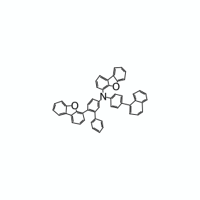 c1ccc(-c2cc(N(c3ccc(-c4cccc5ccccc45)cc3)c3cccc4c3oc3ccccc34)ccc2-c2cccc3c2oc2ccccc23)cc1